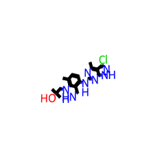 Cc1ccc(Nc2nc(C)c3c(Cl)n[nH]c3n2)c(C=N)c1NCC(C)(C)O